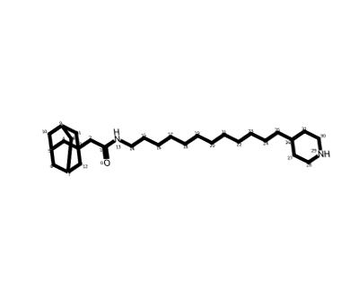 O=C(CC12CC3CC(CC(C3)C1)C2)NCCCCCCCCCCCCC1CCNCC1